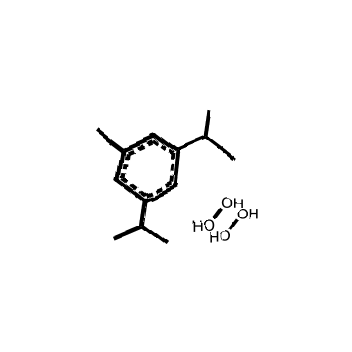 Cc1cc(C(C)C)cc(C(C)C)c1.OO.OO